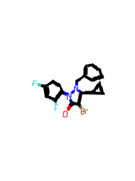 O=c1c(Br)c(C2CC2)n(Cc2ccccc2)n1-c1ccc(F)cc1F